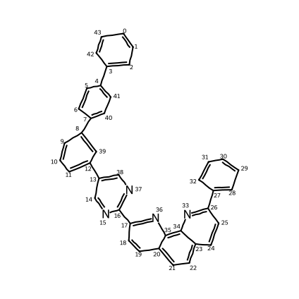 c1ccc(-c2ccc(-c3cccc(-c4cnc(-c5ccc6ccc7ccc(-c8ccccc8)nc7c6n5)nc4)c3)cc2)cc1